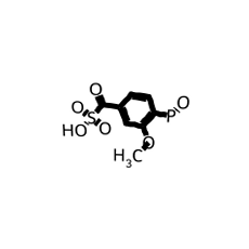 COc1cc(C(=O)S(=O)(=O)O)ccc1P=O